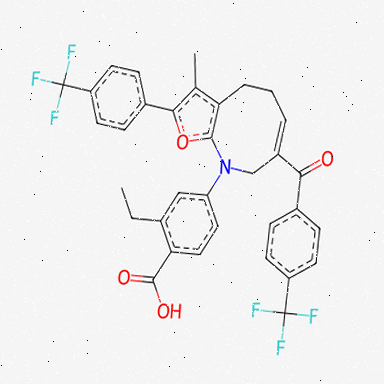 CCc1cc(N2CC(C(=O)c3ccc(C(F)(F)F)cc3)=CCCc3c2oc(-c2ccc(C(F)(F)F)cc2)c3C)ccc1C(=O)O